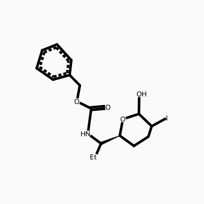 CCC(NC(=O)OCc1ccccc1)[C@@H]1CCC(I)C(O)O1